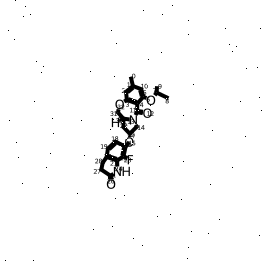 Cc1cc2c(c(OC(C)C)c1)C(=O)N1C[C@@H](Oc3ccc4c(c3F)NC(=O)CC4)C[C@@H]1CO2